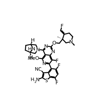 COc1nc(-c2c(F)cc(F)c3sc(N)c(C#N)c23)c(F)c2nc(OC[C@]3(C)CN(C)CC/C3=C\F)nc(N3C[C@H]4CC[C@@H](C3)N4)c12